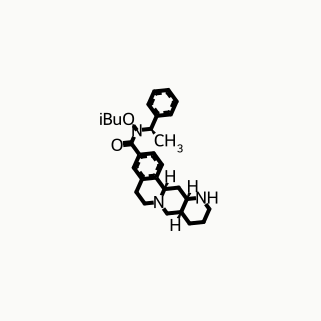 CC(C)CON(C(=O)c1ccc2c(c1)CCN1C[C@H]3CCCN[C@H]3C[C@@H]21)[C@H](C)c1ccccc1